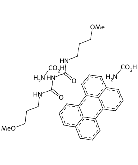 COCCCNC(=O)NC(=O)NCCCOC.NC(=O)O.NC(=O)O.c1cc2cccc3c4cccc5cccc(c(c1)c23)c54